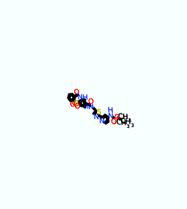 CC(C)(C)OC(=O)Nc1ccnc(-c2ncc(CNC(=O)c3ccc4c(c3)NC(=O)c3ccccc3S4(=O)=O)s2)c1